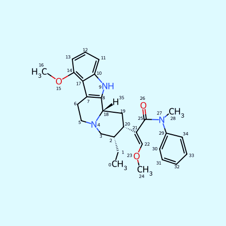 CC[C@@H]1CN2CCc3c([nH]c4cccc(OC)c34)[C@@H]2C[C@@H]1/C(=C\OC)C(=O)N(C)c1ccccc1